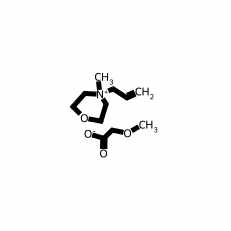 C=CC[N+]1(C)CCOCC1.COCC(=O)[O-]